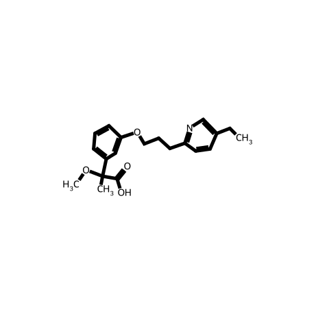 CCc1ccc(CCCOc2cccc(C(C)(OC)C(=O)O)c2)nc1